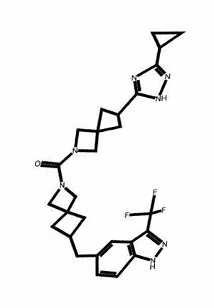 O=C(N1CC2(CC(Cc3ccc4[nH]nc(C(F)(F)F)c4c3)C2)C1)N1CC2(CC(c3nc(C4CC4)n[nH]3)C2)C1